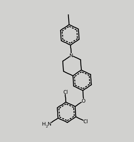 Cc1ccc(N2CCc3cc(Oc4c(Cl)cc(N)cc4Cl)ccc3C2)cc1